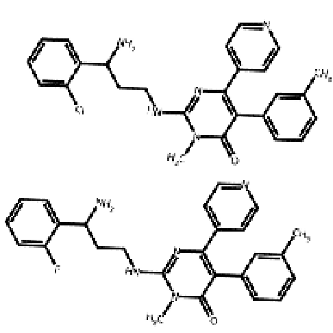 Cc1cccc(-c2c(-c3ccncc3)nc(NCCC(N)c3ccccc3Cl)n(C)c2=O)c1.Cc1cccc(-c2c(-c3ccncc3)nc(NCCC(N)c3ccccc3F)n(C)c2=O)c1